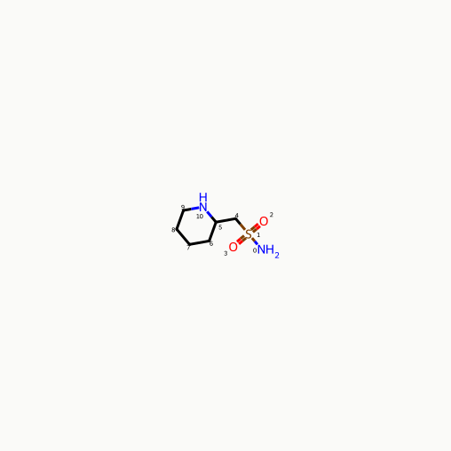 NS(=O)(=O)CC1CCCCN1